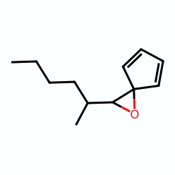 CCCCC(C)C1OC12C=CC=C2